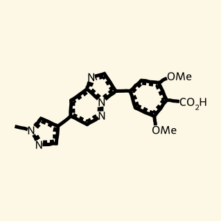 COc1cc(-c2cnc3cc(-c4cnn(C)c4)cnn23)cc(OC)c1C(=O)O